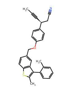 CC#C[C@@H](CC#N)c1ccc(OCc2ccc3sc(C)c(-c4ccccc4C)c3c2)cc1